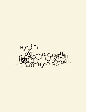 CCC(C)C(=O)OC1C2C3(C)CCC(OC4CC(OC)C(OC5OC(C)C(O)C(OC)C5O)C(C)O4)CC3CCC23OC32CCC(C(C)=O)C2(C)C1OC(C)=O